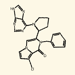 O=c1c2c(Cl)ccn2cc(C2CCCN2c2ncnc3[nH]cnc23)n1-c1ccccc1